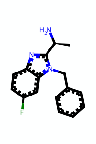 C[C@H](N)c1nc2ccc(F)cc2n1Cc1ccccc1